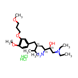 CCN(CC)C[C@H](O)[C@@H](N)C[C@H](Cc1ccc(OC)c(OCCCOC)c1)C(C)C.Cl.Cl